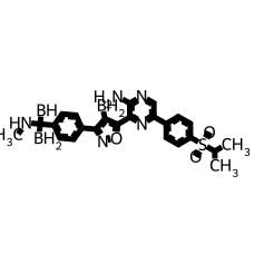 Bc1c(-c2ccc(C(B)(B)NC)cc2)noc1-c1nc(-c2ccc(S(=O)(=O)C(C)C)cc2)cnc1N